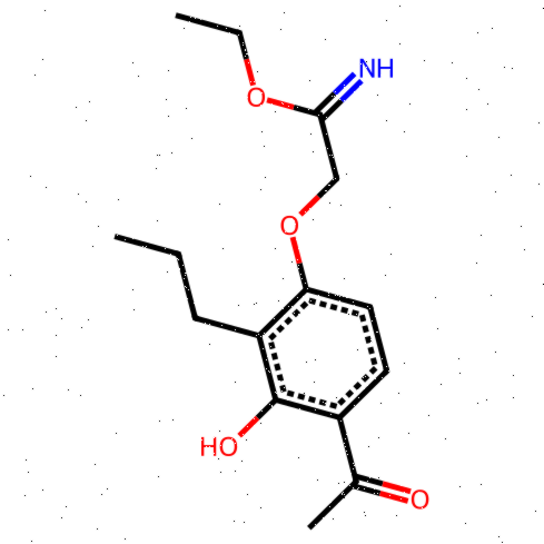 CCCc1c(OCC(=N)OCC)ccc(C(C)=O)c1O